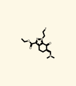 CCOC(=O)c1nn(CCF)c2c1CCC(=CN(C)C)C2=O